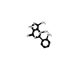 Cc1n[nH]c2c(=O)nc(-c3ccccc3N)n(C)c12